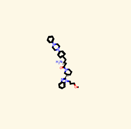 COCCCn1c([C@@H]2CCCN(C(=O)C[C@H](N)Cc3ccc(N4CCN(c5ccccc5)CC4)cc3)C2)nc2ccccc21